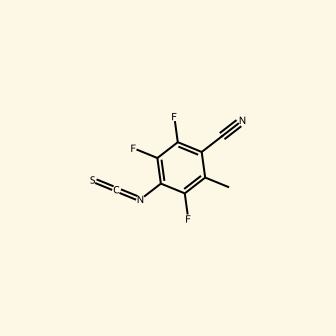 Cc1c(F)c(N=C=S)c(F)c(F)c1C#N